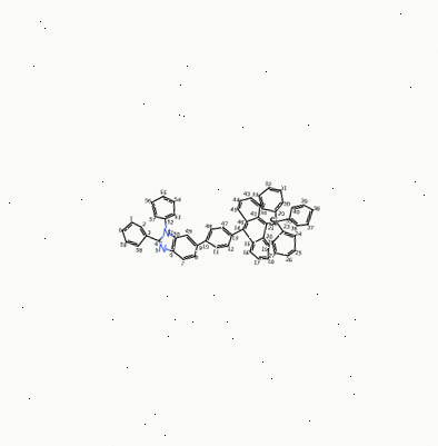 c1ccc(-c2nc3ccc(-c4ccc(-c5c6ccccc6c([Si](c6ccccc6)(c6ccccc6)c6ccccc6)c6ccccc56)cc4)cc3n2-c2ccccc2)cc1